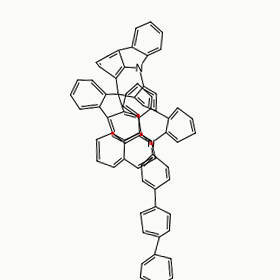 c1ccc(-c2ccc(-c3ccc(N(c4ccc5c(c4)C4(c6ccccc6-5)c5ccccc5-n5c6ccccc6c6cccc4c65)c4ccccc4-c4ccccc4-c4cccc5ccccc45)cc3)cc2)cc1